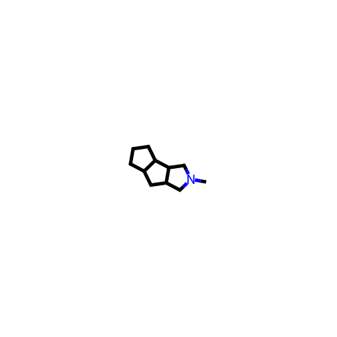 CN1CC2CC3CCCC3C2C1